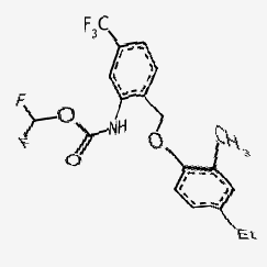 CCc1ccc(OCc2ccc(C(F)(F)F)cc2NC(=O)OC(F)F)c(C)c1